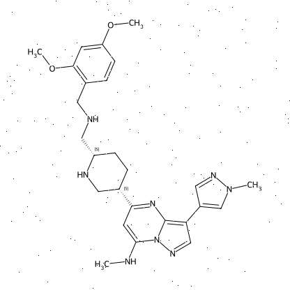 CNc1cc([C@H]2CC[C@@H](CNCc3ccc(OC)cc3OC)NC2)nc2c(-c3cnn(C)c3)cnn12